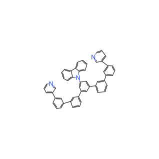 c1cncc(-c2cccc(-c3cccc(-c4cc(-c5cccc(-c6cccc(-c7cccnc7)c6)c5)cc(-n5c6ccccc6c6ccccc65)c4)c3)c2)c1